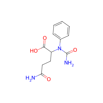 NC(=O)CCC(C(=O)O)N(C(N)=O)c1ccccc1